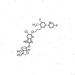 Cc1c(F)cc(-c2ccc(F)cn2)cc1CCCOc1nc2nc(O[C@@H]3CO[C@]4(O)[C@H](O)CO[C@H]34)[nH]c2cc1Cl